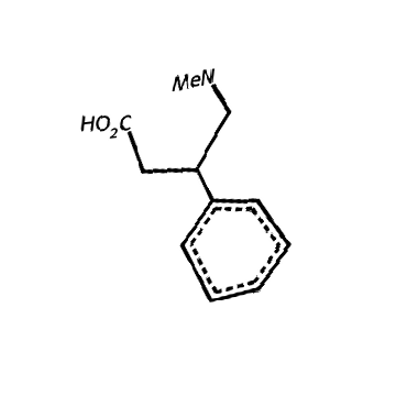 CNCC(CC(=O)O)c1ccccc1